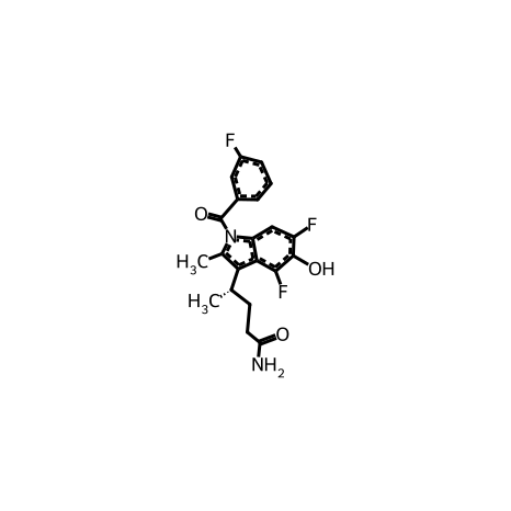 Cc1c([C@@H](C)CCC(N)=O)c2c(F)c(O)c(F)cc2n1C(=O)c1cccc(F)c1